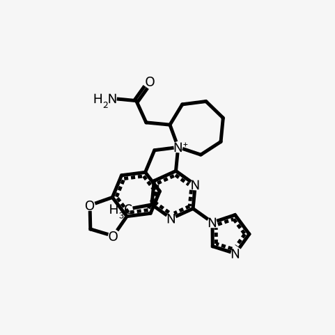 Cc1cc([N+]2(Cc3ccc4c(c3)OCO4)CCCCCC2CC(N)=O)nc(-n2ccnc2)n1